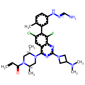 C=CC(=O)N1C[C@H](C)N(c2nc(N3CC(N(C)C)C3)nc3c(F)c(-c4cc(N/N=C/N)ccc4C)c(Cl)cc23)C[C@H]1C